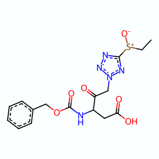 CC[S+]([O-])c1nnn(CC(=O)C(CC(=O)O)NC(=O)OCc2ccccc2)n1